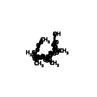 CCOCCOCCOCCN(C)C(=O)c1cc2c3c(ccc2n1C(=O)OCC)N(C(=O)c1cc2c4c(ccc2n1C(=O)OCC)N(C(=O)c1cc2c5c(ccc2n1C(=O)OCC)N(C(=O)CCCCCO)CC5)CC4)CC3